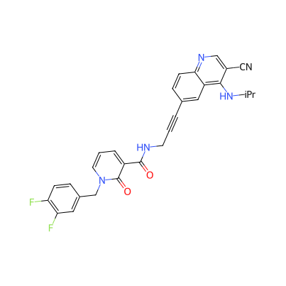 CC(C)Nc1c(C#N)cnc2ccc(C#CCNC(=O)c3cccn(Cc4ccc(F)c(F)c4)c3=O)cc12